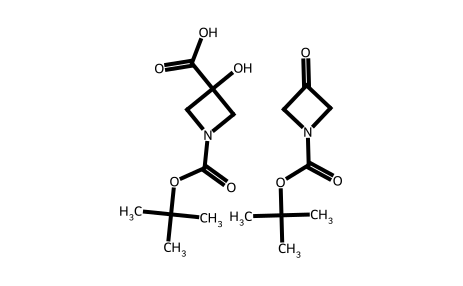 CC(C)(C)OC(=O)N1CC(=O)C1.CC(C)(C)OC(=O)N1CC(O)(C(=O)O)C1